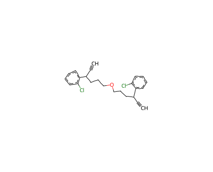 C#CC(CCCOCCCC(C#C)c1ccccc1Cl)c1ccccc1Cl